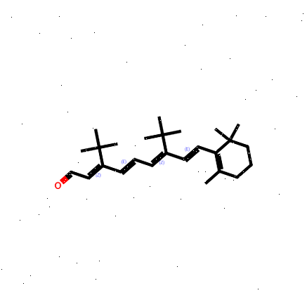 CC1=C(/C=C/C(=C/C=C/C(=C/C=O)C(C)(C)C)C(C)(C)C)C(C)(C)CCC1